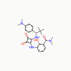 CN(C)C(=O)c1cccc(Nc2c(NC(c3ccc(N(C)C)cc3)C(C)(C)C)c(=O)c2=O)c1O